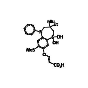 CCCCC1(CC)CN(c2ccccc2)c2cc(SC)c(OC=CC(=O)O)cc2S(O)(O)C1